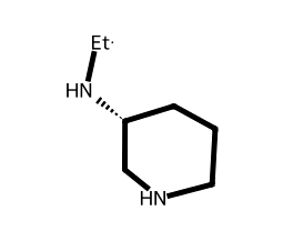 C[CH]N[C@@H]1CCCNC1